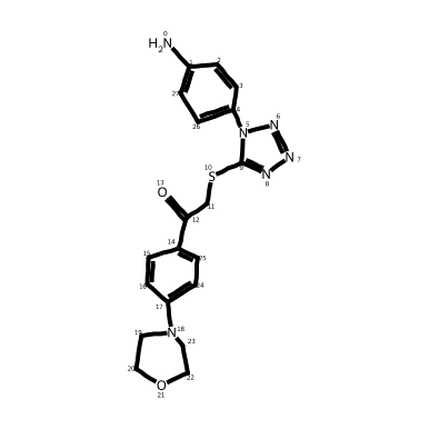 Nc1ccc(-n2nnnc2SCC(=O)c2ccc(N3CCOCC3)cc2)cc1